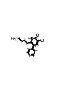 CCCCCc1[nH]c(=O)c(Cl)cc1-c1ccncc1